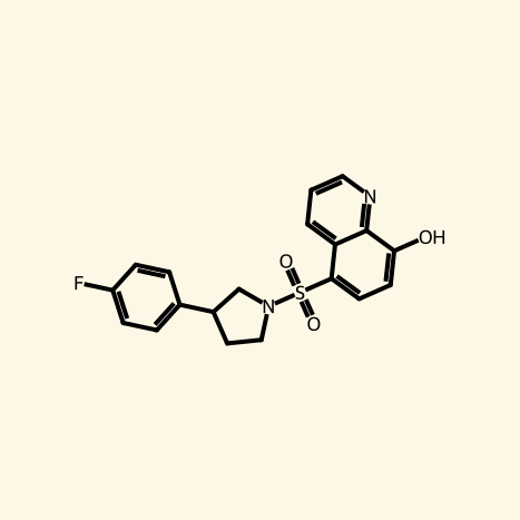 O=S(=O)(c1ccc(O)c2ncccc12)N1CCC(c2ccc(F)cc2)C1